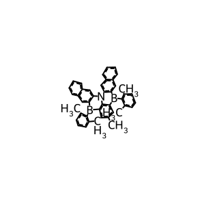 Cc1cc2c3c(c1)B(c1c(C)cccc1C)c1cc4ccccc4cc1N3c1cc3ccccc3cc1B2c1c(C)cccc1C